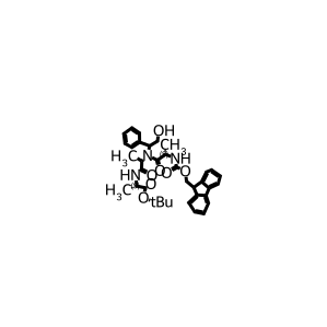 CC(C(=O)N[C@@H](C)C(=O)OC(C)(C)C)N(C(=O)[C@H](C)NC(=O)OCC1c2ccccc2-c2ccccc21)C(CO)c1ccccc1